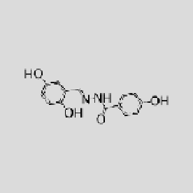 O=C(NN=Cc1cc(O)ccc1O)c1ccc(O)cc1